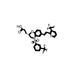 O=C(O)CC[C@H]1CN(S(=O)(=O)c2cccc(C(F)(F)F)c2)c2cc(/C=C/c3ncccc3C(F)(F)F)ccc2O1